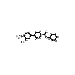 Nc1ccc(-c2ccc(C(=O)Oc3ccccc3)cc2)cc1N